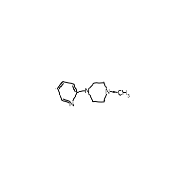 CN1CCN(c2cc[c]cn2)CC1